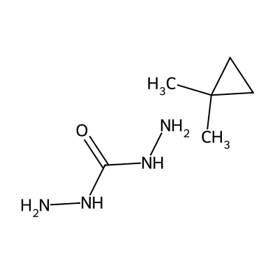 CC1(C)CC1.NNC(=O)NN